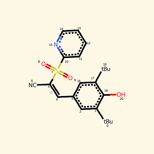 CC(C)(C)c1cc(/C=C(/C#N)S(=O)(=O)c2ccccn2)cc(C(C)(C)C)c1O